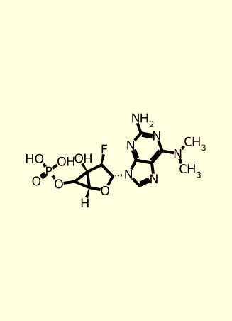 CN(C)c1nc(N)nc2c1ncn2[C@@H]1O[C@@H]2C(OP(=O)(O)O)[C@]2(O)[C@H]1F